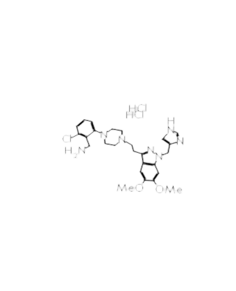 COc1cc2c(CCN3CCN(c4cccc(Cl)c4CN)CC3)nn(Cc3c[nH]cn3)c2cc1OC.Cl.Cl